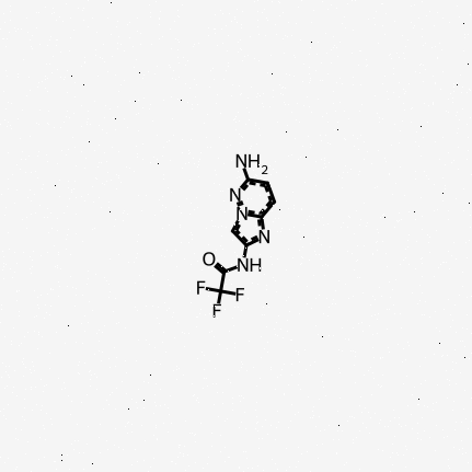 Nc1ccc2nc(NC(=O)C(F)(F)F)cn2n1